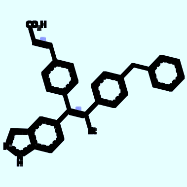 CC/C(=C(/c1ccc(/C=C/C(=O)O)cc1)c1ccc2[nH]ncc2c1)c1ccc(Cc2ccccc2)cc1